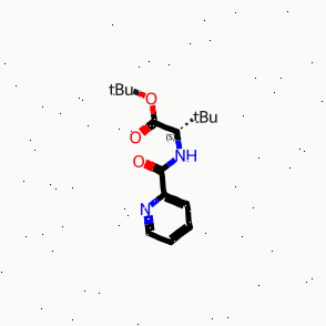 CC(C)(C)OC(=O)[C@@H](NC(=O)c1ccccn1)C(C)(C)C